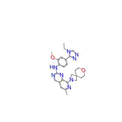 CCn1cnnc1-c1ccc(Nc2ncc3cc(C)nc(N4CC5(CCOCC5)C4)c3n2)c(OC)c1